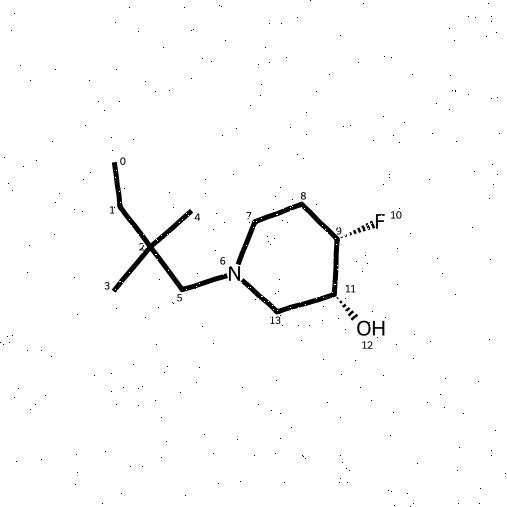 CCC(C)(C)CN1CC[C@H](F)[C@H](O)C1